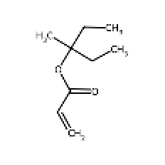 C=CC(=O)OC(C)(CC)CC